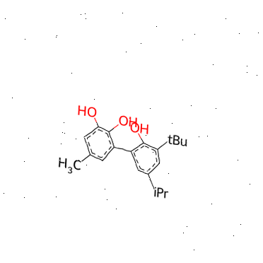 Cc1cc(O)c(O)c(-c2cc(C(C)C)cc(C(C)(C)C)c2O)c1